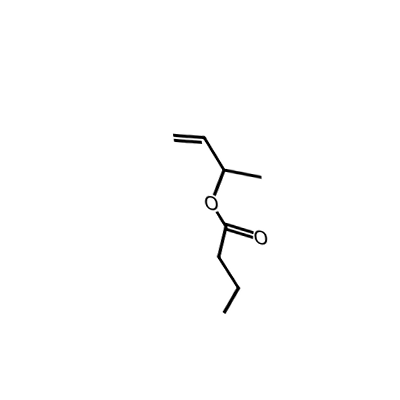 C=CC(C)OC(=O)CCC